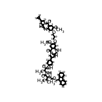 COc1cc2c(cc1OCCCOc1cc3c(cc1OC)C(=O)N1C=C(c4ccc(NC(=O)[C@H](C)NC(=O)[C@@H](NCOCC5c6ccccc6-c6ccccc65)C(C)C)cc4)C[C@H]1CN3)N=C[C@@H]1CC(C3CC3)=CN1C2=O